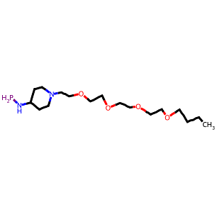 CCCCOCCOCCOCCOCCN1CCC(NP)CC1